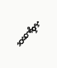 O=C(NCC1CCN(CC2(F)CCC(F)(F)CC2)CC1)c1cc(F)cc(OC(F)F)c1